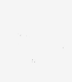 CC(C)[Si](Oc1cncc(CCl)c1)(C(C)C)C(C)C